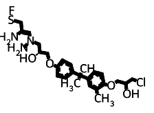 Cc1cc(C(C)(C)c2ccc(OC[C@H](O)CN(N)/C=C(\N)CSF)cc2)ccc1OCC(O)CCl